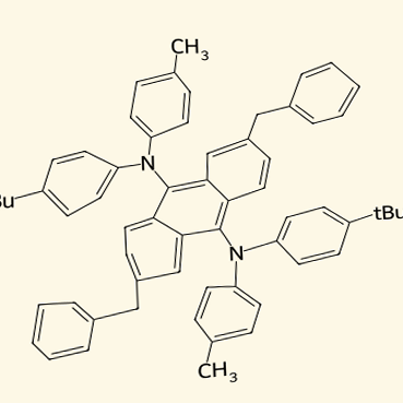 Cc1ccc(N(c2ccc(C(C)(C)C)cc2)c2c3ccc(Cc4ccccc4)cc3c(N(c3ccc(C)cc3)c3ccc(C(C)(C)C)cc3)c3ccc(Cc4ccccc4)cc23)cc1